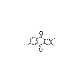 Cc1ccc2c(c1)C(=O)c1cc(C)c(C)cc1C2=O